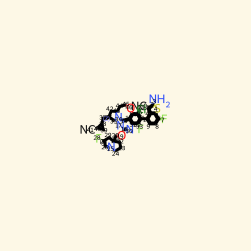 N#Cc1c(N)sc2c(F)ccc(-c3c(Cl)c4c5c(nc(OCC67CCCN6C[C@H](F)C7)nc5c3F)N3C/C(=C\C5CC5C#N)CC3CCO4)c12